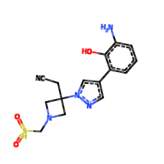 N#CCC1(n2cc(-c3cccc(N)c3O)cn2)CN(C[SH](=O)=O)C1